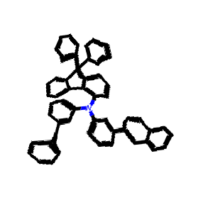 c1ccc(-c2cccc(N(c3cccc(-c4ccc5ccccc5c4)c3)c3cccc4c3-c3ccccc3C4(c3ccccc3)c3ccccc3)c2)cc1